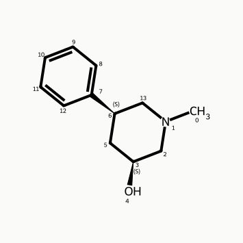 CN1C[C@@H](O)C[C@@H](c2ccccc2)C1